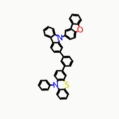 c1ccc(N2c3ccccc3Sc3cc(-c4cccc(-c5ccc6c7ccccc7n(-c7ccc8oc9ccccc9c8c7)c6c5)c4)ccc32)cc1